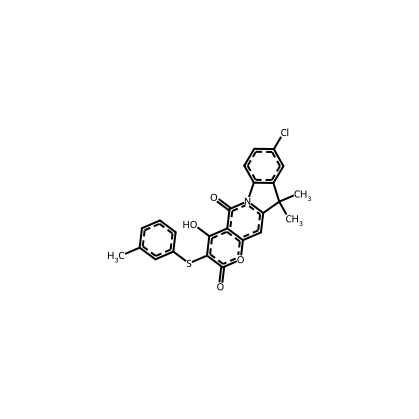 Cc1cccc(Sc2c(O)c3c(=O)n4c(cc3oc2=O)C(C)(C)c2cc(Cl)ccc2-4)c1